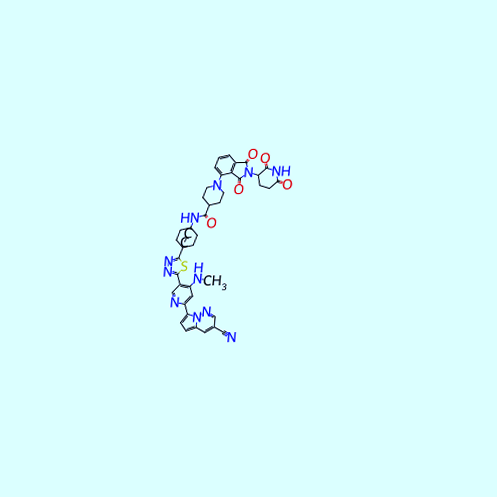 CNc1cc(-c2ccc3cc(C#N)cnn23)ncc1-c1nnc(C23CCC(NC(=O)C4CCN(c5cccc6c5C(=O)N(C5CCC(=O)NC5=O)C6=O)CC4)(CC2)CC3)s1